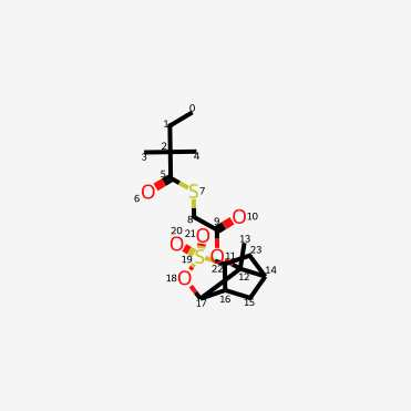 CCC(C)(C)C(=O)SCC(=O)OC1(C)C2CC3C1OS(=O)(=O)C3C2